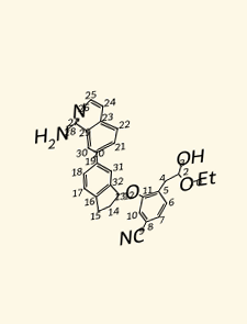 CCOC(O)Cc1ccc(C#N)cc1O[C@@H]1CCc2ccc(-c3ccc4ccnc(N)c4c3)cc21